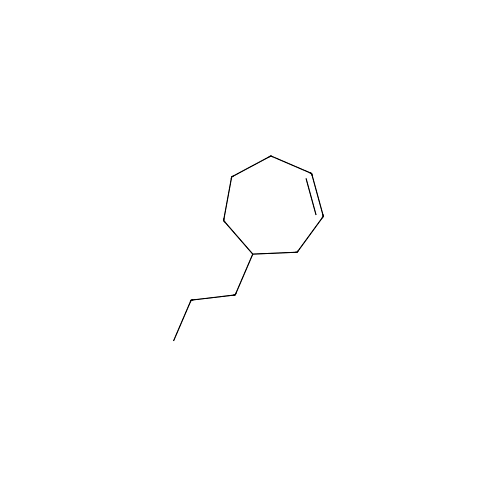 CCCC1CC=CCCC1